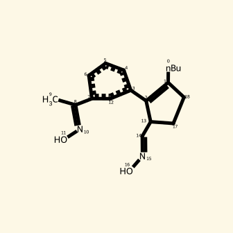 CCCCC1=C(c2cccc(C(C)=NO)c2)C(C=NO)CC1